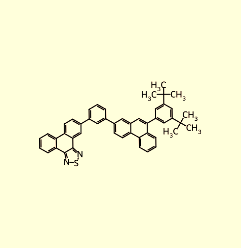 CC(C)(C)c1cc(-c2cc3cc(-c4cccc(-c5ccc6c7ccccc7c7nsnc7c6c5)c4)ccc3c3ccccc23)cc(C(C)(C)C)c1